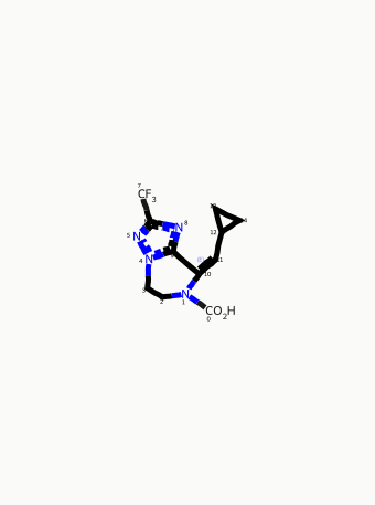 O=C(O)N1CCn2nc(C(F)(F)F)nc2/C1=C\C1CC1